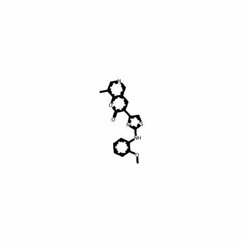 COc1ccccc1Nc1nc(-c2cc3cncc(C)c3oc2=O)cs1